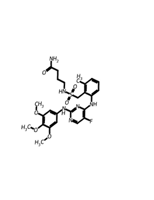 COc1cc(Nc2ncc(F)c(Nc3cccc(C)c3CS(=O)(=O)NCCCC(N)=O)n2)cc(OC)c1OC